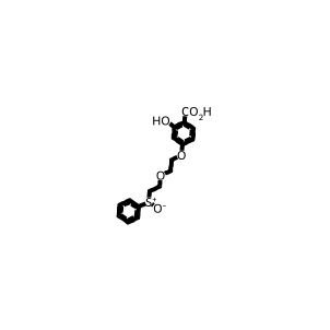 O=C(O)c1ccc(OCCOCC[S+]([O-])c2ccccc2)cc1O